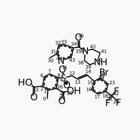 Cc1c(C(=O)O)ccc(S(=O)(=O)CC=Cc2ccc(C(F)(F)F)cc2Br)c1C(=O)O.Cc1ccc(C(=O)N2CCNCC2)cn1